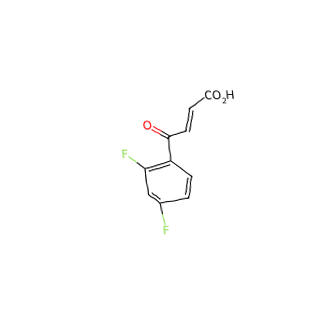 O=C(O)C=CC(=O)c1ccc(F)cc1F